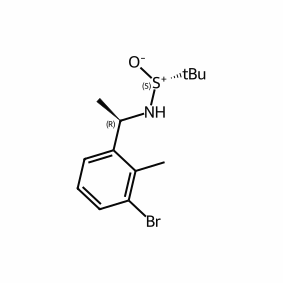 Cc1c(Br)cccc1[C@@H](C)N[S@+]([O-])C(C)(C)C